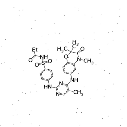 CCC(=O)NS(=O)(=O)c1ccc(Nc2ncc(C)c(Nc3ccc4c(c3)N(C)C(=O)C(C)(C)O4)n2)cc1